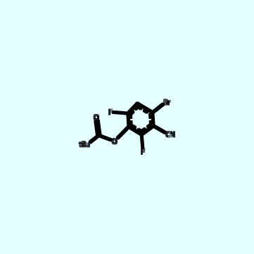 CC(C)(C)C(=O)Oc1c(F)cc(Br)c(C#N)c1F